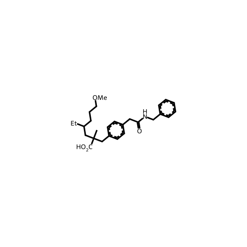 CCC(CCCOC)CC(C)(Cc1ccc(CC(=O)NCc2ccccc2)cc1)C(=O)O